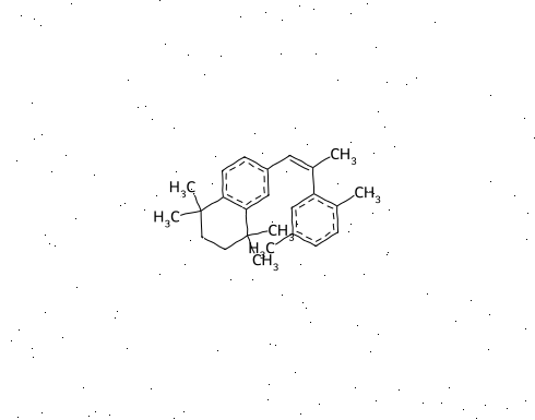 CC(=Cc1ccc2c(c1)C(C)(C)CCC2(C)C)c1cc(C)ccc1C